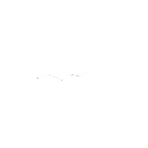 [CH2]CCCCC[CH]C(=O)O